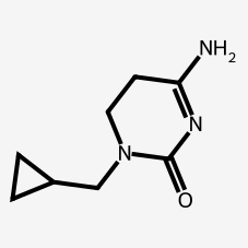 NC1=NC(=O)N(CC2CC2)CC1